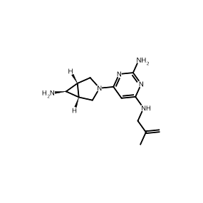 C=C(C)CNc1cc(N2C[C@@H]3[C@@H](N)[C@@H]3C2)nc(N)n1